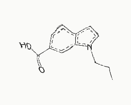 CCCn1ccc2ccc(C(=O)O)cc21